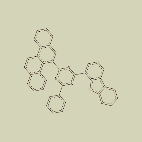 c1ccc(-c2nc(-c3cccc4c3oc3ccccc34)nc(-c3cc4ccccc4c4ccc5ccccc5c34)n2)cc1